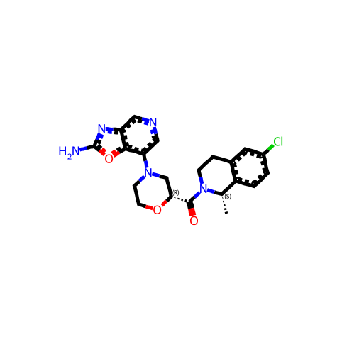 C[C@H]1c2ccc(Cl)cc2CCN1C(=O)[C@H]1CN(c2cncc3nc(N)oc23)CCO1